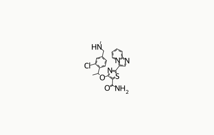 CNCc1ccc(C(C)Oc2nc(-c3cnc4ccccn34)sc2C(N)=O)c(Cl)c1